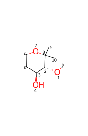 CO[C@@H]1[C@@H](O)CCOC1(C)C